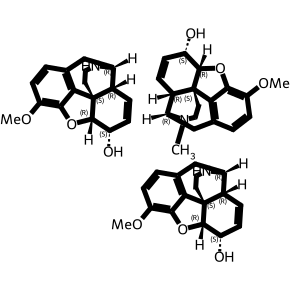 COc1ccc2c3c1O[C@H]1[C@@H](O)C=C[C@H]4[C@@H](C2)N(C)CC[C@@]341.COc1ccc2c3c1O[C@H]1[C@@H](O)C=C[C@H]4[C@@H](C2)NCC[C@@]341.COc1ccc2c3c1O[C@H]1[C@@H](O)C=C[C@H]4[C@@H](C2)NCC[C@@]341